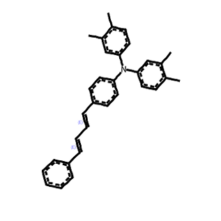 Cc1ccc(N(c2ccc(/C=C/C=C/c3ccccc3)cc2)c2ccc(C)c(C)c2)cc1C